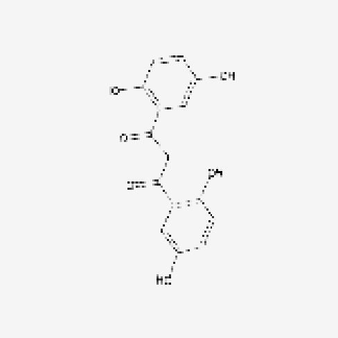 O=C(CC(=O)c1cc(O)ccc1O)c1cc(O)ccc1O